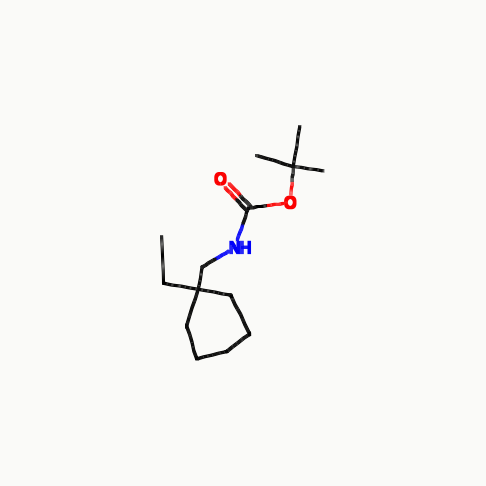 CCC1(CNC(=O)OC(C)(C)C)CCCCC1